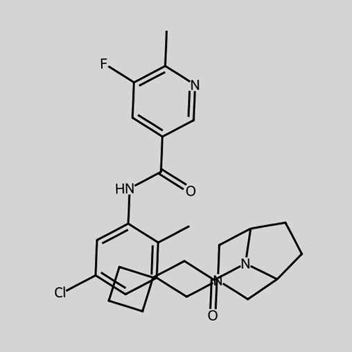 Cc1ncc(C(=O)Nc2cc(Cl)cc(CN3CC4CCC(C3)N4C(=O)CC3CCC3)c2C)cc1F